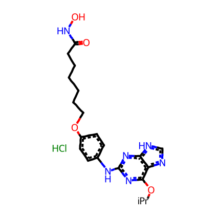 CC(C)Oc1nc(Nc2ccc(OCCCCCCC(=O)NO)cc2)nc2[nH]cnc12.Cl